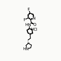 Cl.O=C(Nc1ccc(CC[C@@H]2CCNC2)cc1)c1ncc(F)cc1F